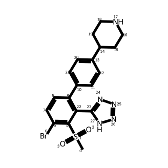 CS(=O)(=O)c1c(Br)ccc(-c2ccc(C3CCNCC3)cc2)c1-c1nnn[nH]1